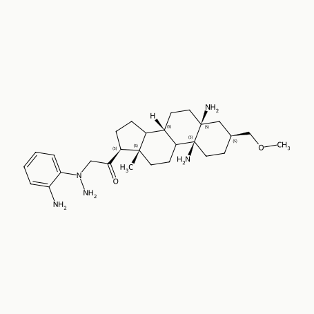 COC[C@H]1CC[C@]2(N)C3CC[C@@]4(C)C(CC[C@@H]4C(=O)CN(N)c4ccccc4N)[C@@H]3CC[C@]2(N)C1